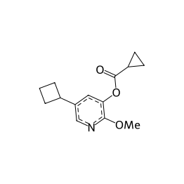 COc1ncc(C2CCC2)cc1OC(=O)C1CC1